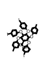 Cc1ccc(Oc2c(Oc3ccc(I)cc3)c(Oc3ccc(I)cc3)c(Oc3ccc(C)cc3)c(C(=O)O)c2Oc2ccc(I)cc2)cc1